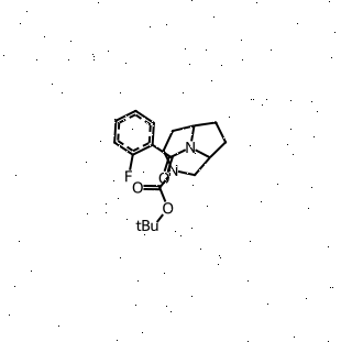 CC(C)(C)OC(=O)N1CCC2CCC(C1)N2C(=O)c1ccccc1F